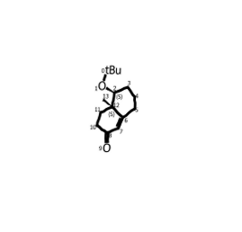 CC(C)(C)O[C@H]1CCCC2=CC(=O)CC[C@@]21C